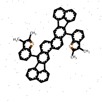 Cc1sc2c(-c3c4c(cc5c3ccc3c6cc7c(c(-c8cccc9c(C)c(C)sc89)c6ccc53)-c3cccc5cccc-7c35)-c3cccc5cccc-4c35)cccc2c1C